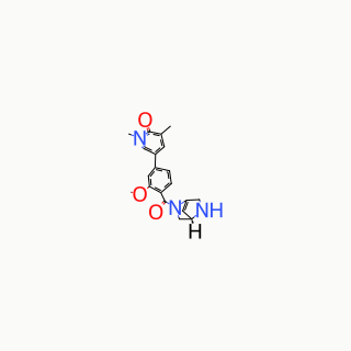 COc1cc(-c2cc(C)c(=O)n(C)c2)ccc1C(=O)N1C[C@@H]2C=C1CN2